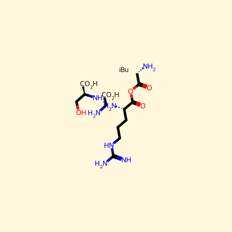 CC[C@H](C)[C@H](N)C(=O)OC(=O)[C@@H](N)CCCNC(=N)N.NCC(=O)O.N[C@@H](CO)C(=O)O